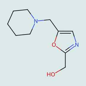 OCc1ncc(CN2CCCCC2)o1